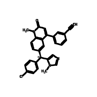 C#Cc1cccc(-c2cc(=O)n(C)c3ccc([C@H](c4ccc(Cl)cc4)c4cncn4C)cc23)c1